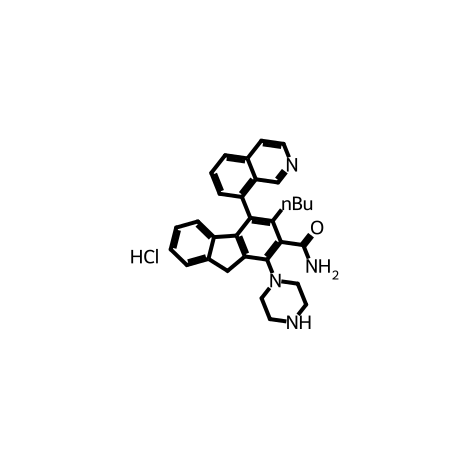 CCCCc1c(C(N)=O)c(N2CCNCC2)c2c(c1-c1cccc3ccncc13)-c1ccccc1C2.Cl